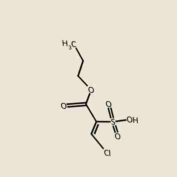 CCCOC(=O)C(=CCl)S(=O)(=O)O